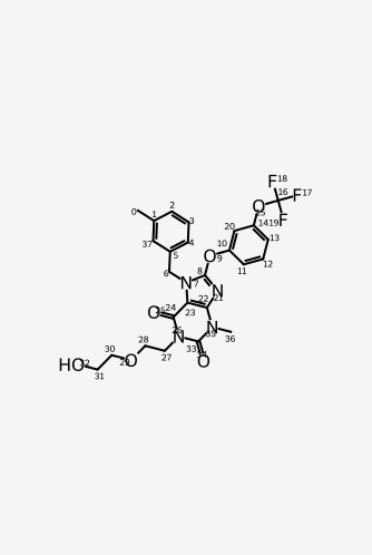 Cc1cccc(Cn2c(Oc3cccc(OC(F)(F)F)c3)nc3c2c(=O)n(CCOCCO)c(=O)n3C)c1